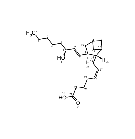 CCCCC[C@H](O)/C=C/[C@H]1CC2CC(C2)[C@@H]1C/C=C\CCCC(=O)O